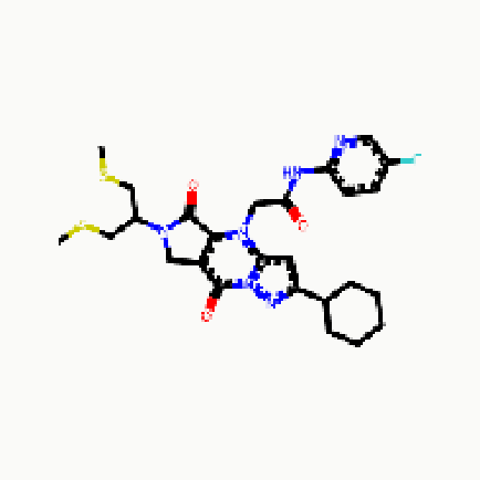 CSCC(CSC)N1Cc2c(n(CC(=O)Nc3ccc(F)cn3)c3cc(C4CCCCC4)nn3c2=O)C1=O